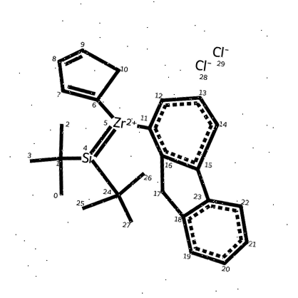 CC(C)(C)[Si](=[Zr+2]([C]1=CC=CC1)[c]1cccc2c1Cc1ccccc1-2)C(C)(C)C.[Cl-].[Cl-]